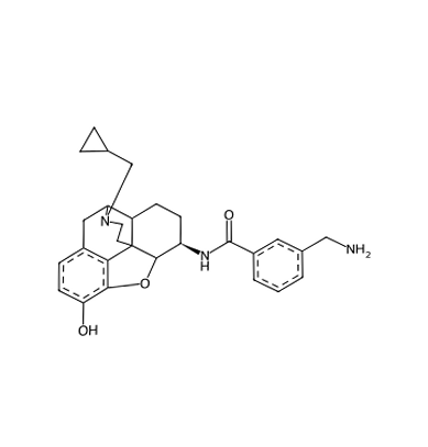 NCc1cccc(C(=O)N[C@@H]2CCC3C4Cc5ccc(O)c6c5C3(CCN4CC3CC3)C2O6)c1